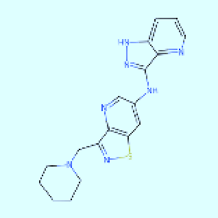 c1cnc2c(Nc3cnc4c(CN5CCCCC5)nsc4c3)n[nH]c2c1